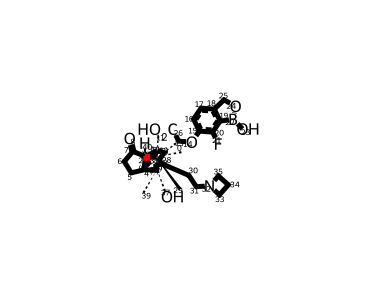 C[C@@H]1CC[C@@]23CCC(=O)[C@H]2[C@@]1(C)[C@H](C(Oc1ccc2c(c1F)B(O)OC2)C(=O)O)C[C@](C)(CCN1CCC1)[C@@H](O)[C@@H]3C